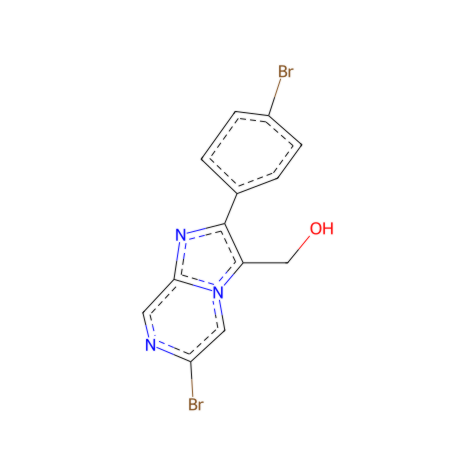 OCc1c(-c2ccc(Br)cc2)nc2cnc(Br)cn12